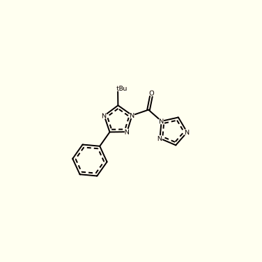 CC(C)(C)c1nc(-c2ccccc2)nn1C(=O)n1cncn1